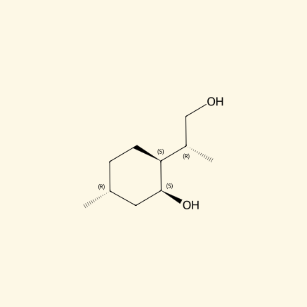 C[C@@H]1CC[C@@H]([C@@H](C)CO)[C@@H](O)C1